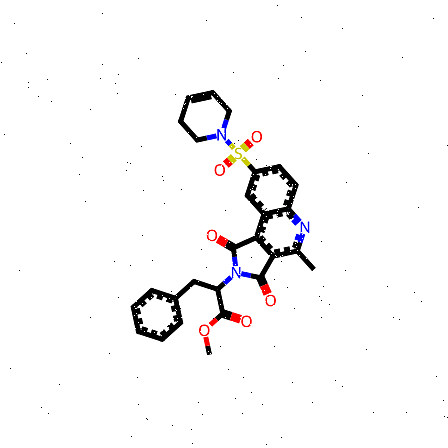 COC(=O)C(Cc1ccccc1)N1C(=O)c2c(C)nc3ccc(S(=O)(=O)N4CC=CCC4)cc3c2C1=O